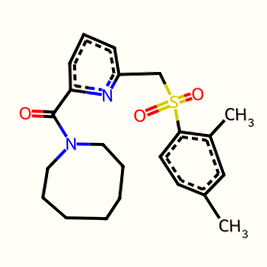 Cc1ccc(S(=O)(=O)Cc2cccc(C(=O)N3CCCCCCC3)n2)c(C)c1